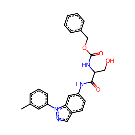 Cc1cccc(-n2ncc3ccc(NC(=O)C(CO)NC(=O)OCc4ccccc4)cc32)c1